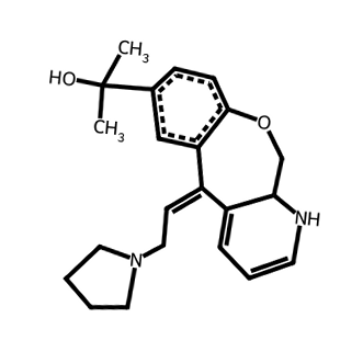 CC(C)(O)c1ccc2c(c1)/C(=C/CN1CCCC1)C1=CC=CNC1CO2